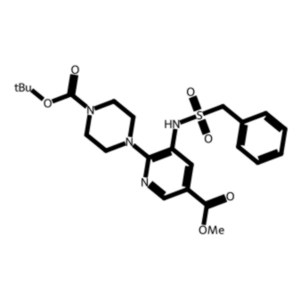 COC(=O)c1cnc(N2CCN(C(=O)OC(C)(C)C)CC2)c(NS(=O)(=O)Cc2ccccc2)c1